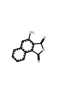 Cc1cc2ccccc2c2c1C(=O)OC2=O